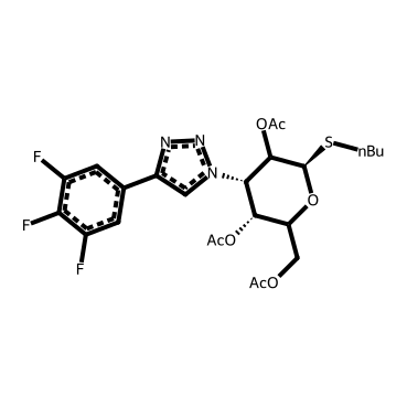 CCCCS[C@H]1OC(COC(C)=O)[C@H](OC(C)=O)[C@H](n2cc(-c3cc(F)c(F)c(F)c3)nn2)C1OC(C)=O